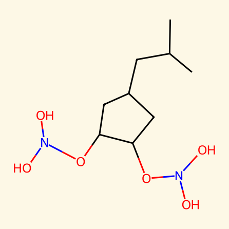 CC(C)CC1CC(ON(O)O)C(ON(O)O)C1